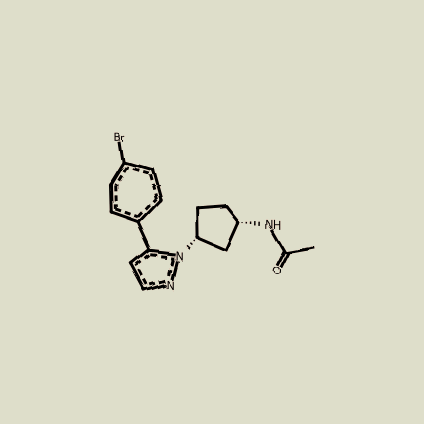 CC(=O)N[C@H]1CC[C@@H](n2nccc2-c2ccc(Br)cc2)C1